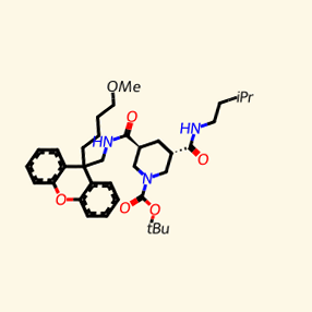 COCCCCC1(CNC(=O)[C@H]2C[C@H](C(=O)NCCC(C)C)CN(C(=O)OC(C)(C)C)C2)c2ccccc2Oc2ccccc21